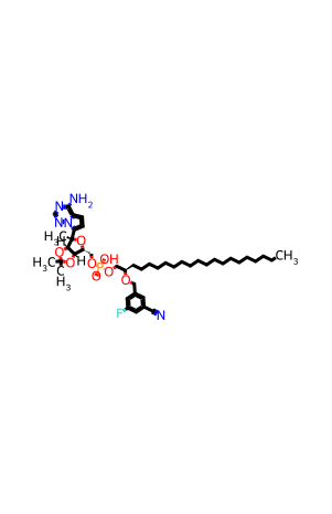 CCCCCCCCCCCCCCCCCCC[C@H](COP(=O)(O)OC[C@H]1O[C@@](C)(c2ccc3c(N)ncnn23)[C@@H]2OC(C)(C)O[C@@H]21)OCc1cc(F)cc(C#N)c1